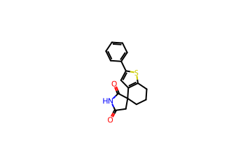 O=C1CC2(CCCc3sc(-c4ccccc4)cc32)C(=O)N1